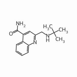 CC(C)(C)NCc1cc(C(N)=O)c2ccccc2n1